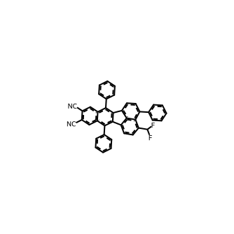 N#Cc1cc2c(-c3ccccc3)c3c(c(-c4ccccc4)c2cc1C#N)-c1ccc(C(F)F)c2c(-c4ccccc4)ccc-3c12